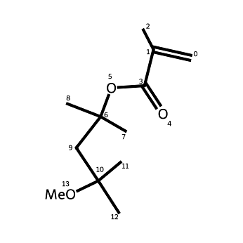 C=C(C)C(=O)OC(C)(C)CC(C)(C)OC